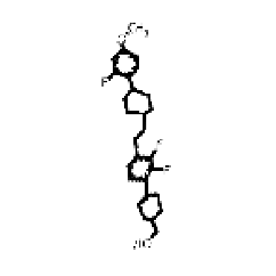 COc1ccc(C2CCC(CCc3ccc(C4=CCC(CO)CC4)c(F)c3F)CC2)c(F)c1